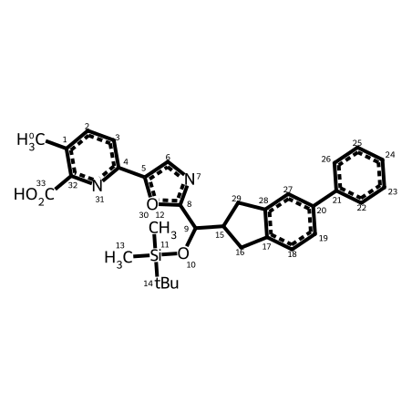 Cc1ccc(-c2cnc(C(O[Si](C)(C)C(C)(C)C)C3Cc4ccc(-c5ccccc5)cc4C3)o2)nc1C(=O)O